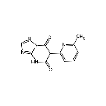 Cc1cccc(C2C(=O)Nc3ncnn3C2=O)n1